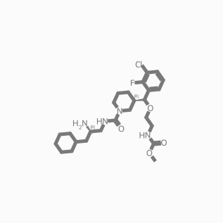 COC(=O)NCCOC(c1cccc(Cl)c1F)[C@@H]1CCCN(C(=O)NC[C@H](N)CC2CCCCC2)C1